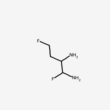 NC(F)C(N)CCF